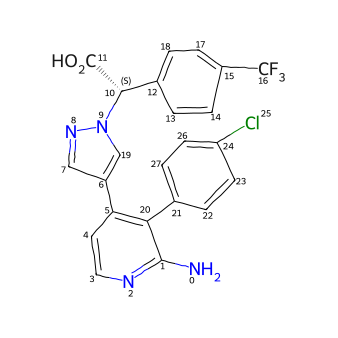 Nc1nccc(-c2cnn([C@H](C(=O)O)c3ccc(C(F)(F)F)cc3)c2)c1-c1ccc(Cl)cc1